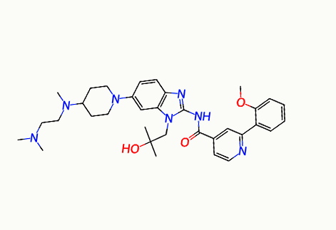 COc1ccccc1-c1cc(C(=O)Nc2nc3ccc(N4CCC(N(C)CCN(C)C)CC4)cc3n2CC(C)(C)O)ccn1